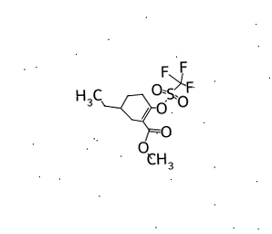 CCC1CCC(OS(=O)(=O)C(F)(F)F)=C(C(=O)OC)C1